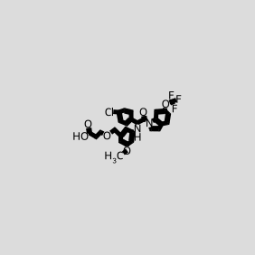 COc1cc(COCCC(=O)O)cc(NC(C(=O)n2ccc3ccc(OC(F)(F)F)cc32)c2ccc(Cl)cc2)c1